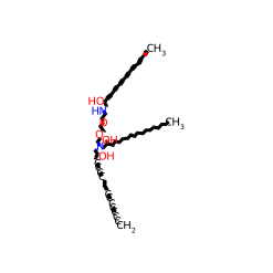 C=C=C=C=C=C=C=C=C=C=C=C=C=C=C=CC(O)CN(CCOCCOCCNCC(O)C#CC#CC#CC#CC#CC#CC#CC)CC(O)CCCCCCCCCCCCCCCC